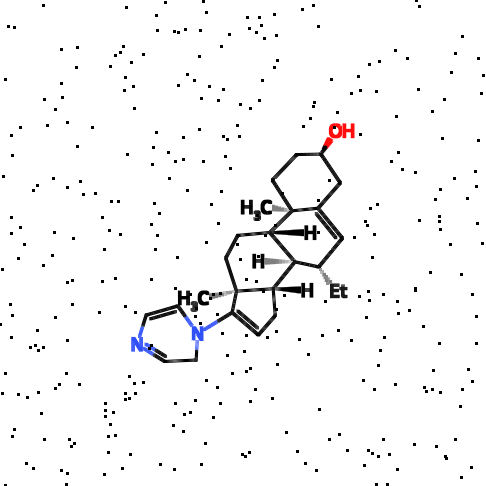 CC[C@H]1C=C2C[C@H](O)CC[C@]2(C)[C@H]2CC[C@]3(C)C(N4C=CN=CC4)=CC[C@H]3[C@H]12